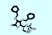 O=C1O[C@@H]([C@H](CO)OP(=O)(O)O)C(OCc2ccccc2)=C1OCc1ccccc1